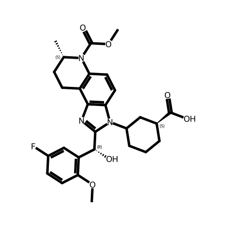 COC(=O)N1c2ccc3c(nc([C@H](O)c4cc(F)ccc4OC)n3C3CCC[C@H](C(=O)O)C3)c2CC[C@@H]1C